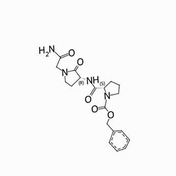 NC(=O)CN1CC[C@@H](NC(=O)[C@@H]2CCCN2C(=O)OCc2ccccc2)C1=O